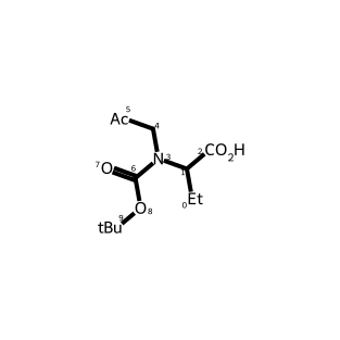 CCC(C(=O)O)N(CC(C)=O)C(=O)OC(C)(C)C